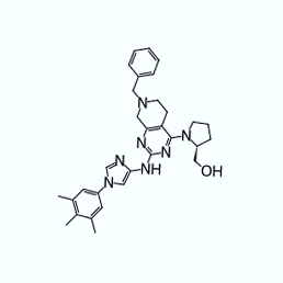 Cc1cc(-n2cnc(Nc3nc4c(c(N5CCC[C@H]5CO)n3)CCN(Cc3ccccc3)C4)c2)cc(C)c1C